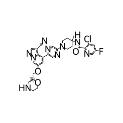 CC1(NC(=O)c2ncc(F)cc2Cl)CCN(c2cnc(-c3cc(OC[C@H]4CNCCO4)cn4ncc(C#N)c34)cn2)CC1